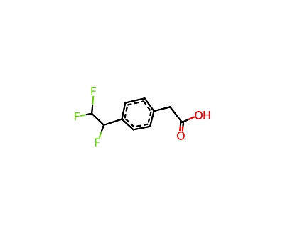 O=C(O)Cc1ccc(C(F)C(F)F)cc1